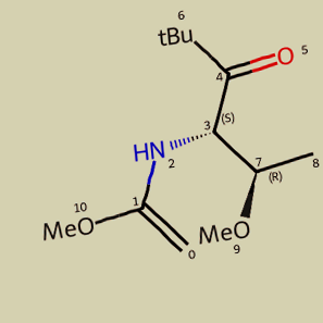 C=C(N[C@H](C(=O)C(C)(C)C)[C@@H](C)OC)OC